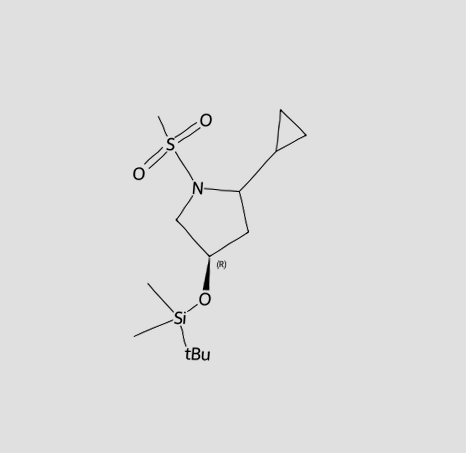 CC(C)(C)[Si](C)(C)O[C@@H]1CC(C2CC2)N(S(C)(=O)=O)C1